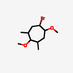 COC1C(C)CC(OC)[C@H](Br)CC1C